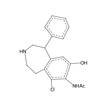 CC(=O)Nc1c(O)cc2c(c1Cl)CCNCC2c1ccccc1